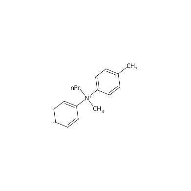 CCC[N+](C)(C1=CC[CH]C=C1)c1ccc(C)cc1